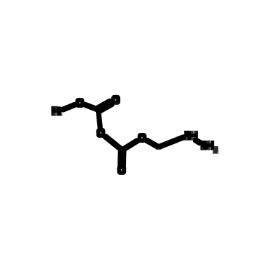 BBCOC(=O)OC(=O)OCC